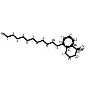 CCCCCCCCCCCCc1cccc2c1CCCC2=O